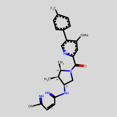 COc1cc(C(=O)N2C[C@@H](NC(=N)/C=C\C(=N)N=O)[C@@H](C)[C@H]2C)ncc1-c1ccc(C(F)(F)F)cc1